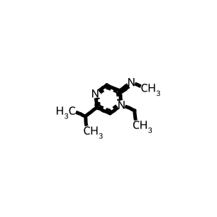 CCn1cc(C(C)C)nc/c1=N/C